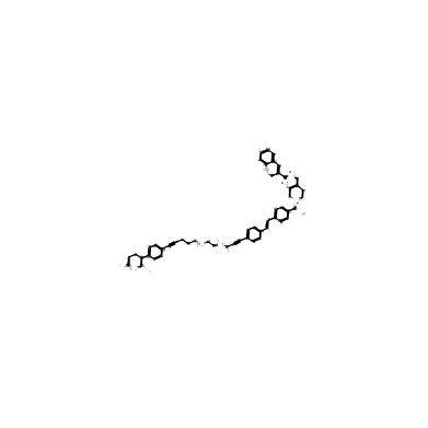 O=C1CCC(c2ccc(C#CCCCNCCNCC#Cc3ccc(/C=C/c4ccc(C(=O)N5CCc6cnc(-c7cnc8ccccc8c7)nc6C5)cc4)cc3)cc2)C(=O)N1